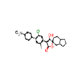 Cc1cc(-c2ccc([N+](=O)[O-])cc2)c(Cl)cc1C1=C(O)C2(CCC3CCCC3C2)OC1=O